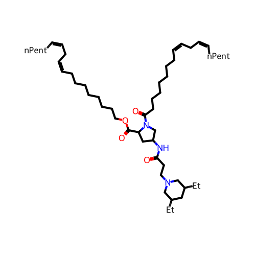 CCCCC/C=C\C/C=C\CCCCCCCCOC(=O)C1CC(NC(=O)CCN2CC(CC)CC(CC)C2)CN1C(=O)CCCCCCC/C=C\C/C=C\CCCCC